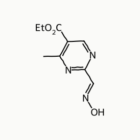 CCOC(=O)c1cnc(C=NO)nc1C